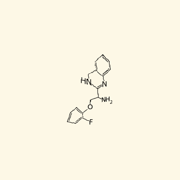 NC(COc1ccccc1F)C1=Nc2ccccc2CN1